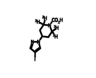 [2H]C1([2H])CC(n2cc(I)cn2)CC([2H])([2H])N1C(=O)O